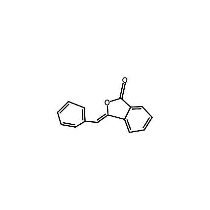 O=C1OC(=Cc2ccccc2)c2ccccc21